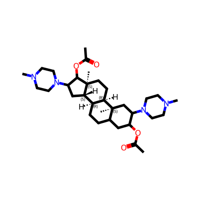 CC(=O)OC1CC2CC[C@@H]3[C@@H](CC[C@]4(C)C(OC(C)=O)C(N5CCN(C)CC5)C[C@@H]34)[C@@]2(C)CC1N1CCN(C)CC1